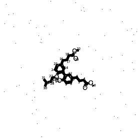 COC(=O)CCCc1ccc(O)c(-c2cc(CCCC(=O)OC)ccc2OCCC(C)C)c1